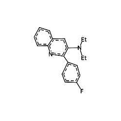 CCN(CC)c1cc2ccccc2nc1-c1ccc(F)cc1